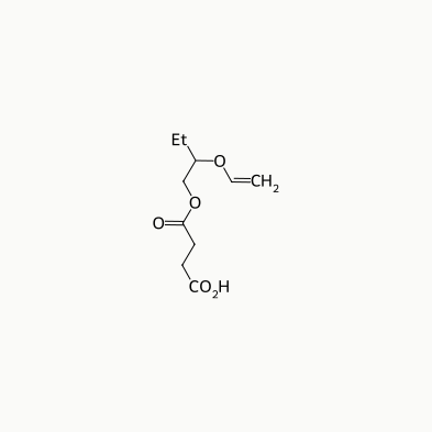 C=COC(CC)COC(=O)CCC(=O)O